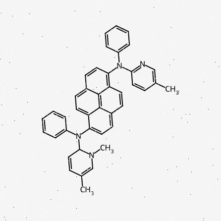 CC1=CN(C)C(N(c2ccccc2)c2ccc3ccc4c(N(c5ccccc5)c5ccc(C)cn5)ccc5ccc2c3c54)C=C1